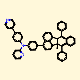 CC12C(c3ccccc3)=c3ccccc3=C(c3ccccc3)C1c1cccc3c(-c4ccc(N(c5ccc(-c6ccncc6)cc5)c5ccccn5)cc4)ccc2c13